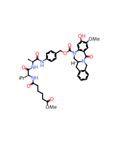 COC(=O)CCCCC(=O)N[C@H](C(=O)N[C@@H](C)C(=O)Nc1ccc(COC(=O)N2C[C@@H]3Cc4ccccc4CN3C(=O)c3cc(OC)c(O)cc32)cc1)C(C)C